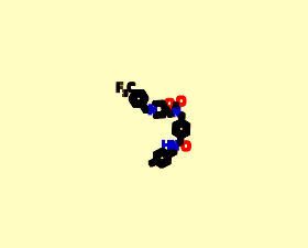 Cc1ccc(CNC(=O)c2ccc(CN3CC4(CCN(Cc5ccc(C(F)(F)F)cc5)CC4)OC3=O)cc2)cc1